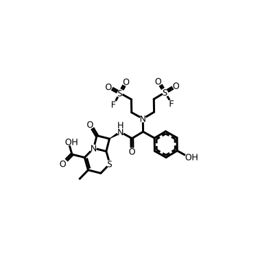 CC1=C(C(=O)O)N2C(=O)[C@@H](NC(=O)C(c3ccc(O)cc3)N(CCS(=O)(=O)F)CCS(=O)(=O)F)C2SC1